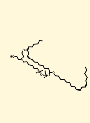 CCCCC/C=C\C/C=C\CCCCCCCCOC(CCCCCCC/C=C\C/C=C\CCCCC)O[Si](C)(C)O[Si](C)(C)CCCCCCN(CCO)CCO